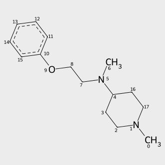 CN1CCC(N(C)CCOc2ccccc2)CC1